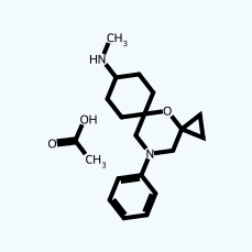 CC(=O)O.CNC1CCC2(CC1)CN(c1ccccc1)CC1(CC1)O2